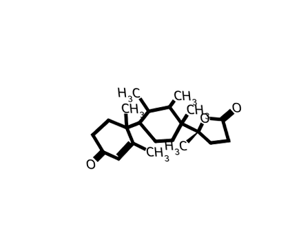 CC1=CC(=O)CCC1(C)C1CCC(C)([C@@]2(C)CCC(=O)O2)C(C)C1C